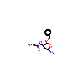 CCCCCCCC(=O)NC(CC(N)=O)C(=O)OCc1ccccc1